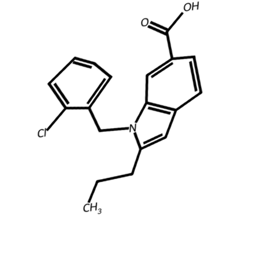 CCCc1cc2ccc(C(=O)O)cc2n1Cc1ccccc1Cl